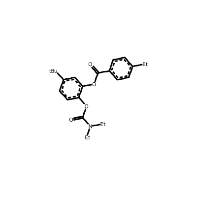 CCc1ccc(C(=O)Oc2cc(C(C)(C)C)ccc2OC(=O)N(CC)CC)cc1